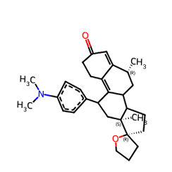 C[C@@H]1CC2C(=C3CCC(=O)C=C31)C(c1ccc(N(C)C)cc1)C[C@@]1(C)C2CC[C@@]12CCCO2